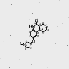 CN1CCC(Oc2ccc3[nH]c(=O)c4c(c3c2)CCSC4)C1